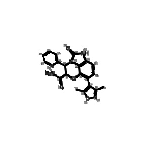 CNC(=O)C1Oc2c(-c3c(C)noc3C)ccc3[nH]c(=O)n(c23)C1c1ccccn1